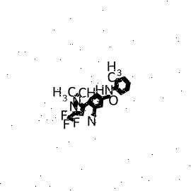 Cc1ccccc1NC(=O)c1ccc(-c2cc(C(F)(F)F)nn2C(C)C)c(C#N)c1